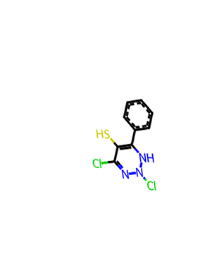 SC1=C(c2ccccc2)NN(Cl)N=C1Cl